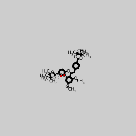 COc1cc(OC)c(C(Cc2ccc(C3OC(C)(C)C(C)(C)O3)cc2)Oc2ccc(B3OC(C)(C)C(C)(C)O3)cc2)c(OC)c1